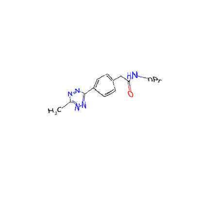 CCCNC(=O)Cc1ccc(-c2nnc(C)nn2)cc1